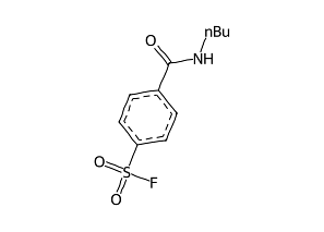 CCCCNC(=O)c1ccc(S(=O)(=O)F)cc1